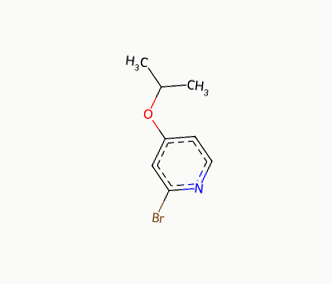 CC(C)Oc1ccnc(Br)c1